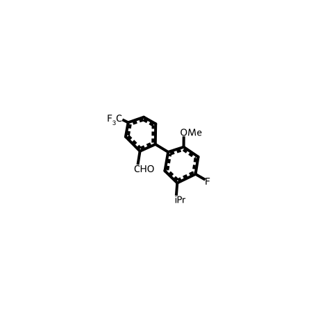 COc1cc(F)c(C(C)C)cc1-c1ccc(C(F)(F)F)cc1C=O